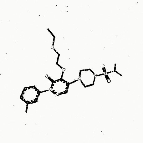 CCOCCOc1c(N2CCN(S(=O)(=O)C(C)C)CC2)cnn(-c2cccc(C)c2)c1=O